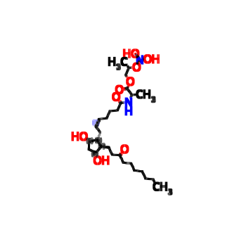 CCCCCCCC(=O)CC[C@@H]1[C@@H](C/C=C\CCCC(=O)NC(C)C(=O)OCC(C)ON(O)O)[C@@H](O)C[C@H]1O